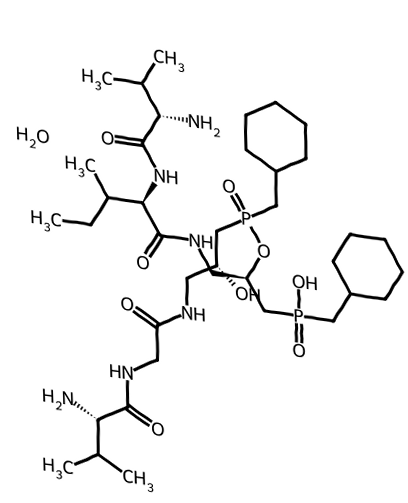 CCC(C)[C@@H](NC(=O)[C@@H](N)C(C)C)C(=O)NC[C@H](CP(=O)(O)CC1CCCCC1)OP(=O)(CC1CCCCC1)C[C@H](O)CNC(=O)CNC(=O)[C@@H](N)C(C)C.O